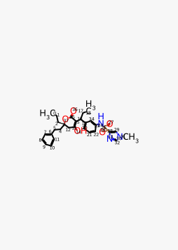 CCC[C@]1(CCc2ccccc2)CC(O)=C(C(CC)c2cccc(NS(=O)(=O)c3cn(C)cn3)c2)C(=O)O1